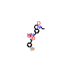 CCCN1C(=O)CCc2cc(CNS(=O)(=O)/C=C/c3cccc(Br)c3)ccc21